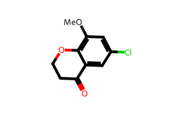 COc1cc(Cl)cc2c1OCCC2=O